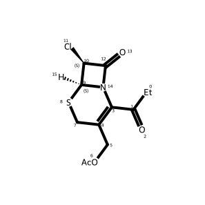 CCC(=O)C1=C(COC(C)=O)CS[C@H]2[C@@H](Cl)C(=O)N12